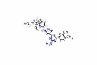 Cc1ccc(-c2cc(-c3cn(Cc4cccc(C(C)(C)CC(=O)O)n4)nn3)nc(N)n2)cc1C#N